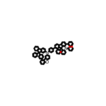 C1=CC2=C(CC1)C(c1ccccc1)(c1ccccc1)c1cc(N(c3ccc(-c4ccc5c(c4)C4(c6ccccc6)c6ccccc6N(c6ccccc6)c6c(-c7ccccc7)ccc-5c64)cc3)c3ccc4oc5ccccc5c4c3)ccc12